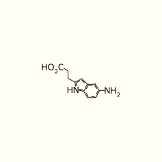 Nc1ccc2[nH]c(CCC(=O)O)cc2c1